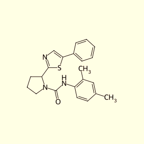 Cc1ccc(NC(=O)N2CCCC2c2ncc(-c3ccccc3)s2)c(C)c1